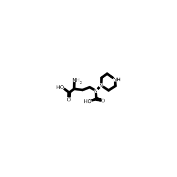 NC(CCN(C(=O)O)N1CCNCC1)C(=O)O